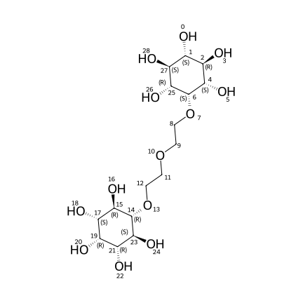 O[C@@H]1[C@@H](O)[C@H](O)[C@H](OCCOCCO[C@H]2[C@H](O)[C@@H](O)[C@@H](O)[C@@H](O)[C@@H]2O)[C@H](O)[C@H]1O